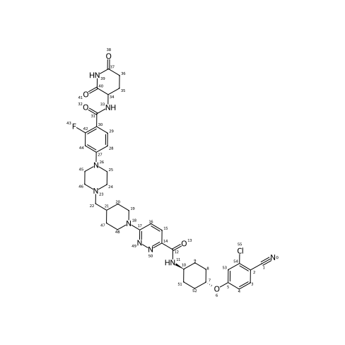 N#Cc1ccc(O[C@H]2CC[C@H](NC(=O)c3ccc(N4CCC(CN5CCN(c6ccc(C(=O)NC7CCC(=O)NC7=O)c(F)c6)CC5)CC4)nn3)CC2)cc1Cl